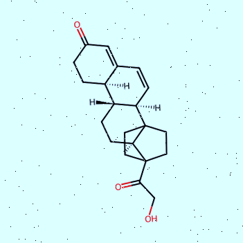 C[C@]12CC[C@H]3[C@@H](C=CC4=CC(=O)CC[C@@H]43)C13CCC2(C(=O)CO)CC3